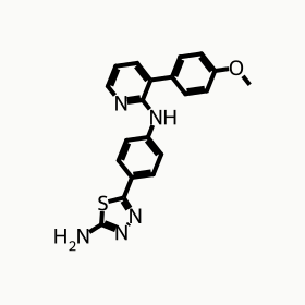 COc1ccc(-c2cccnc2Nc2ccc(-c3nnc(N)s3)cc2)cc1